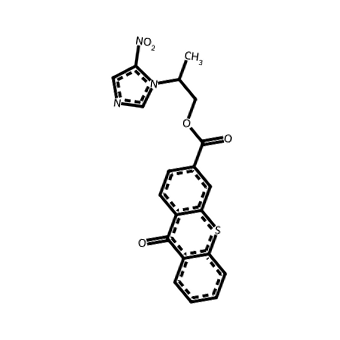 CC(COC(=O)c1ccc2c(=O)c3ccccc3sc2c1)n1cncc1[N+](=O)[O-]